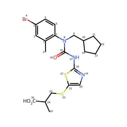 Cc1cc(Br)ccc1N(CC1CCCC1)C(=O)Nc1ncc(SCC(C)C(=O)O)s1